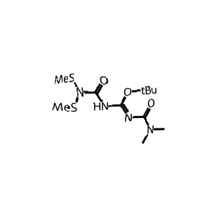 CSN(SC)C(=O)NC(=NC(=O)N(C)C)OC(C)(C)C